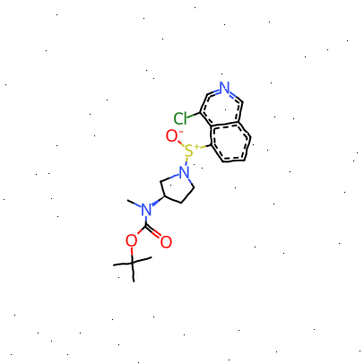 CN(C(=O)OC(C)(C)C)[C@@H]1CCN([S+]([O-])c2cccc3cncc(Cl)c23)C1